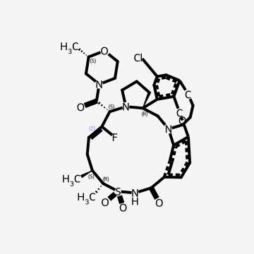 C[C@@H]1[C@@H](C)C/C=C(\F)[C@H](C(=O)N2CCO[C@@H](C)C2)N2CCC[C@@]23CN2CCCCc4cc(Cl)cc3c4COc3ccc(cc32)C(=O)NS1(=O)=O